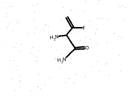 C=C(F)C(N)C(N)=O